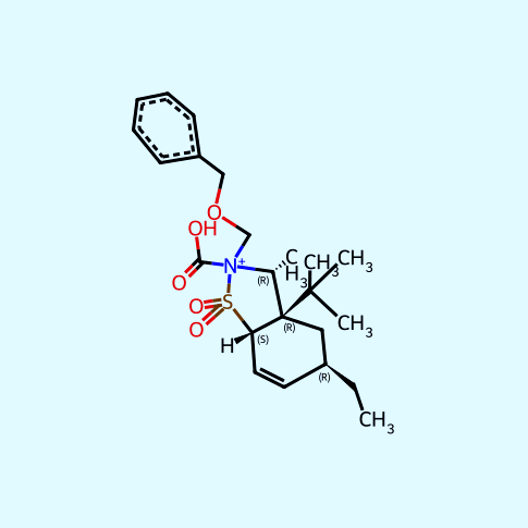 CC[C@H]1C=C[C@H]2[C@@](C(C)(C)C)(C1)[C@@H](C)[N+](COCc1ccccc1)(C(=O)O)S2(=O)=O